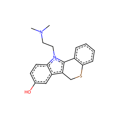 CN(C)CCn1c2c(c3cc(O)ccc31)CSc1ccccc1-2